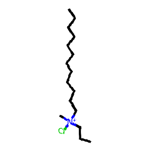 CCCCCCCCCCCC[N+](C)(Cl)CCC